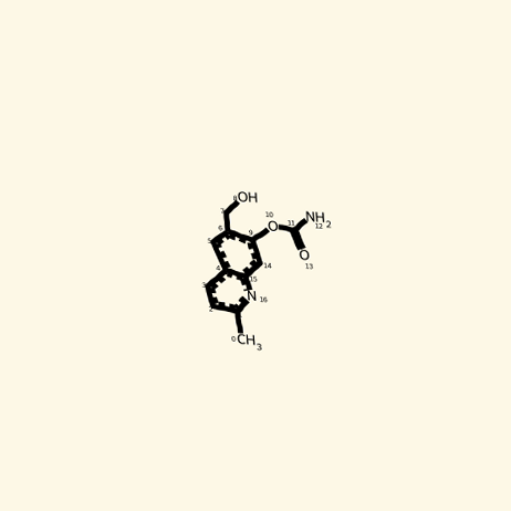 Cc1ccc2cc(CO)c(OC(N)=O)cc2n1